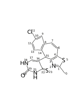 Cc1nc2c(s1)C=Cc1cc(Cl)ccc1C2c1c[nH]c(=O)[nH]c1=S